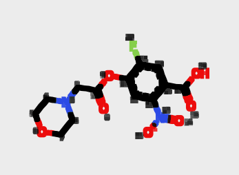 O=C(CN1CCOCC1)Oc1cc([N+](=O)[O-])c(C(=O)O)cc1F